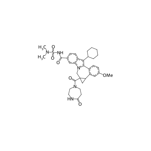 COc1ccc2c(c1)C1CC1(C(=O)N1CCNC(=O)CC1)Cn1c-2c(C2CCCCC2)c2ccc(C(=O)NS(=O)(=O)N(C)C)cc21